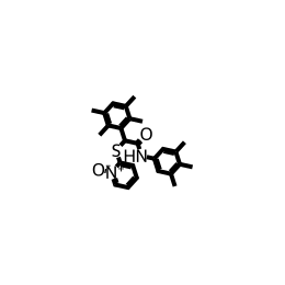 Cc1cc(NC(=O)C(Sc2cccc[n+]2[O-])c2c(C)c(C)cc(C)c2C)cc(C)c1C